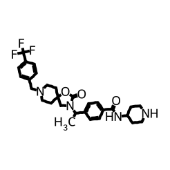 CC(c1ccc(C(=O)NC2CCNCC2)cc1)N1CC2(CCN(Cc3ccc(C(F)(F)F)cc3)CC2)OC1=O